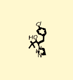 CC(C)(C)C(O)/C(=C\c1ccc(Cl)cc1)n1ccnn1